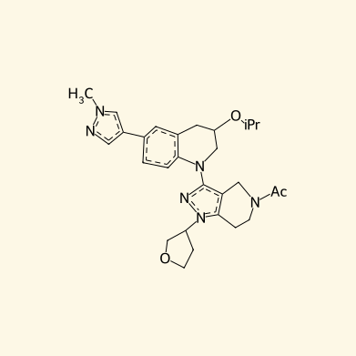 CC(=O)N1CCc2c(c(N3CC(OC(C)C)Cc4cc(-c5cnn(C)c5)ccc43)nn2C2CCOC2)C1